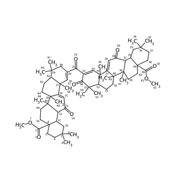 COC(=O)C12CCC(C)(C)CC1C1C(=O)C=C3C4(C)C=C(C(=O)C5=CC6(C)C7=CC(=O)C8C9CC(C)(C)CCC9(C(=O)OC)CCC8(C)C7(C)CCC6C(C)(C)C5=O)CC(C)(C)C4CCC3(C)C1(C)CC2